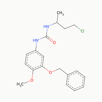 COc1ccc(NC(=O)NC(C)CCCl)cc1OCc1ccccc1